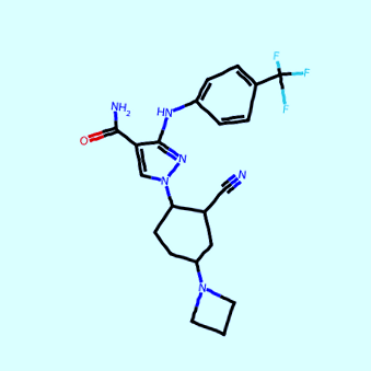 N#CC1CC(N2CCC2)CCC1n1cc(C(N)=O)c(Nc2ccc(C(F)(F)F)cc2)n1